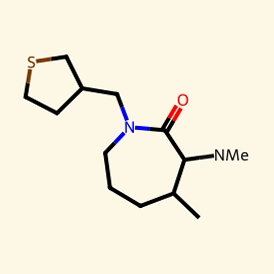 CNC1C(=O)N(CC2CCSC2)CCCC1C